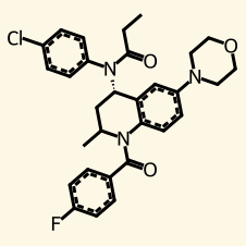 CCC(=O)N(c1ccc(Cl)cc1)[C@H]1CC(C)N(C(=O)c2ccc(F)cc2)c2ccc(N3CCOCC3)cc21